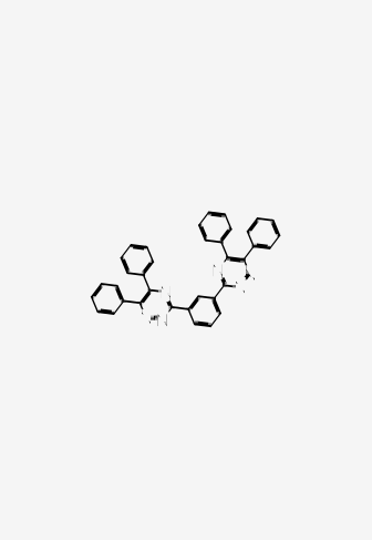 c1ccc(-c2nnc(-c3cccc(-c4nnc(-c5ccccc5)c(-c5ccccc5)n4)c3)nc2-c2ccccc2)cc1